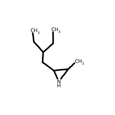 CCC(CC)CC1NC1C